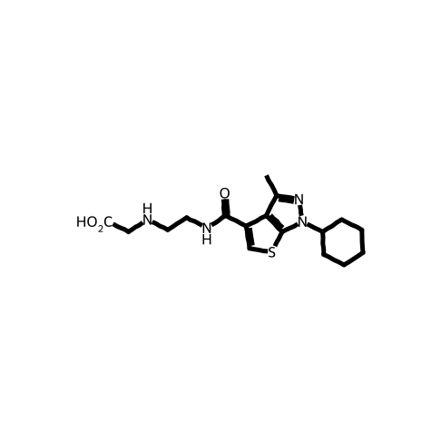 Cc1nn(C2CCCCC2)c2scc(C(=O)NCCNCC(=O)O)c12